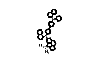 CC1(C)c2cccc3ccc4cc(N(c5ccc(-c6ccc(N(c7ccccc7)c7cccc8ccccc78)cc6)cc5)c5cccc6ccccc56)cc1c4c23